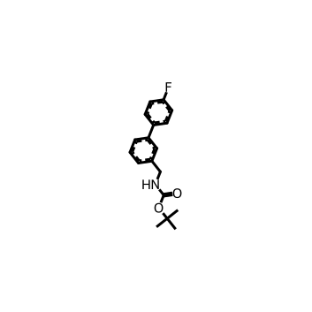 CC(C)(C)OC(=O)NCc1cccc(-c2ccc(F)cc2)c1